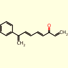 C=CC(=O)C=CC=CC(=C)c1ccccc1